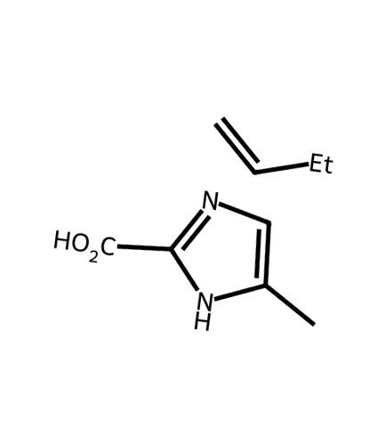 C=CCC.Cc1cnc(C(=O)O)[nH]1